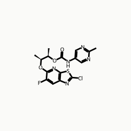 Cc1ncc(NC(=O)O[C@H](C)[C@H](C)Oc2nc3sc(Cl)nc3cc2F)cn1